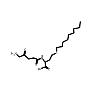 CCCCCCCCCSCCC(NC(=O)CCC(=O)CN)C(=O)O